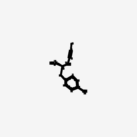 CC#CN[C@@H](Cc1ccc(O)cc1)C(=O)O